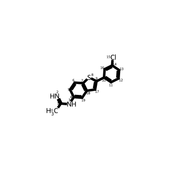 CC(=N)Nc1ccc2sc(-c3cccc(Cl)c3)cc2c1